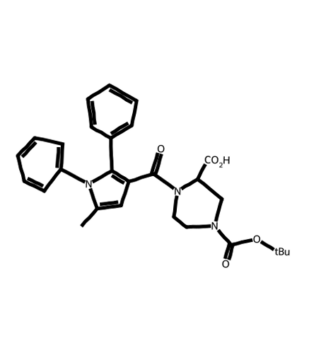 Cc1cc(C(=O)N2CCN(C(=O)OC(C)(C)C)CC2C(=O)O)c(-c2ccccc2)n1-c1ccccc1